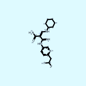 N=C(Nc1ccc(CC(F)F)nc1)/C(=C\NC1CCCCC1)C(N)=O